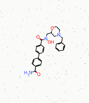 NC(=O)c1ccc(-c2ccc(C(=O)N(O)CC3CN(Cc4ccccc4)CCO3)cc2)cc1